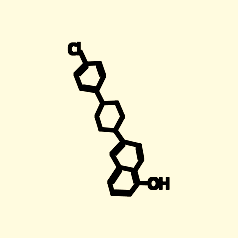 Oc1cccc2cc(C3CCC(c4ccc(Cl)cc4)CC3)ccc12